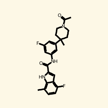 CC(=O)N1CCC(C)(c2cc(F)cc(NC(=O)c3cc4c(F)ccc(C)c4[nH]3)c2)CC1